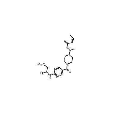 C=C(/C=C\C)CN(C)C1CCN(C(=O)c2cnc(NC(CC)COC)nc2)CC1